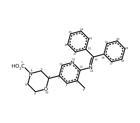 Cc1cc(C2CN(C(=O)O)CCO2)cnc1N=C(c1ccccc1)c1ccccc1